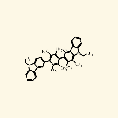 CCn1c2ccccc2c2cc(-c3c(C)c(C)c(-c4c(C)c(C)c5c(c4C)c4ccccc4n5CC)c(C)c3C)ccc21